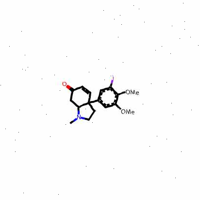 COc1cc(C23C=CC(=O)CC2N(C)CC3)cc(I)c1OC